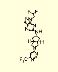 FC(F)Cn1ncc2ncc(NC3C[C@@H]4CN(c5cc(C(F)(F)F)ncn5)C[C@@H]4C3)nc21